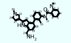 C=Nc1ccccc1C(=O)N(C)c1cccc(-c2ccc(CN)c3[nH]c(C4=CCN(C)C4)cc23)c1C